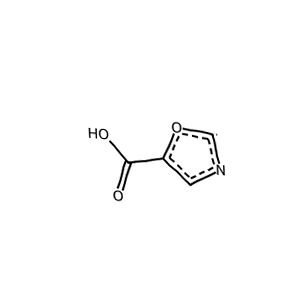 O=C(O)c1cn[c]o1